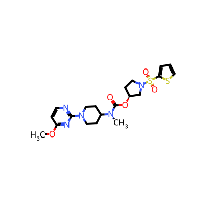 COc1ccnc(N2CCC(N(C)C(=O)O[C@H]3CCN(S(=O)(=O)c4cccs4)C3)CC2)n1